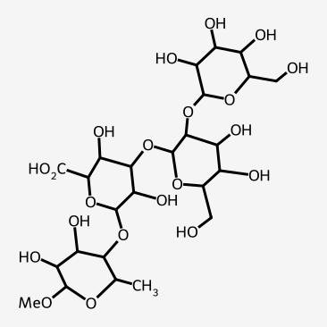 COC1OC(C)C(OC2OC(C(=O)O)C(O)C(OC3OC(CO)C(O)C(O)C3OC3OC(CO)C(O)C(O)C3O)C2O)C(O)C1O